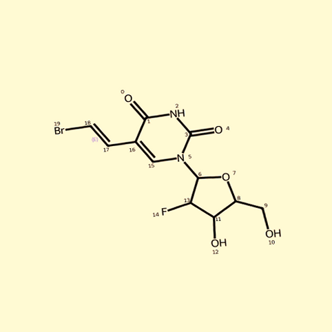 O=c1[nH]c(=O)n(C2OC(CO)C(O)C2F)cc1/C=C/Br